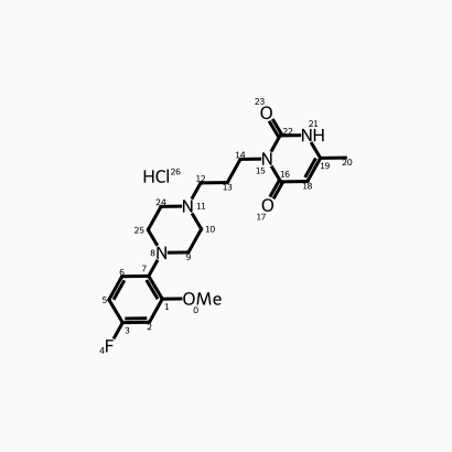 COc1cc(F)ccc1N1CCN(CCCn2c(=O)cc(C)[nH]c2=O)CC1.Cl